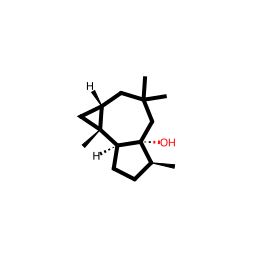 C[C@H]1CC[C@H]2[C@]3(C)C[C@@H]3CC(C)(C)C[C@@]12O